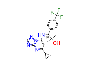 CC(C)(O)[C@H](Nc1cc(C2CC2)nc2ncnn12)c1ccc(C(F)(F)F)cc1